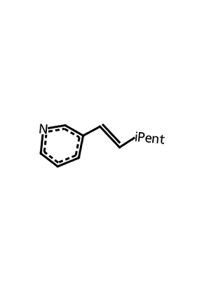 CCCC(C)/C=C/c1cccnc1